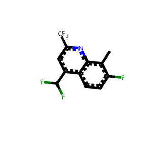 Cc1c(F)ccc2c(C(F)F)cc(C(F)(F)F)nc12